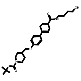 CC(C)(C)OC(=O)N1CCC(COc2ccc(C3=CCC(C(=O)NCCCCO)CC3)cc2)CC1